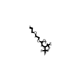 C=CCOCCOC(=O)CC(C(F)(F)F)C(F)(F)F